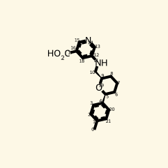 Cc1ccc([C@@H]2CCC[C@H](CNc3cncc(C(=O)O)c3)O2)cc1